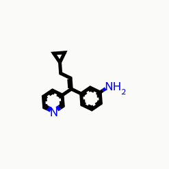 Nc1cccc(C(=CCC2CC2)c2cccnc2)c1